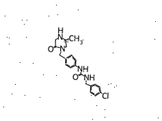 C[C@H]1CN(Cc2ccc(NC(=O)NCc3ccc(Cl)cc3)cc2)C(=O)CN1